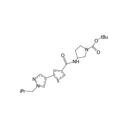 CC(C)Cn1cc(-c2cc(C(=O)NC3CCN(C(=O)OC(C)(C)C)C3)cs2)cn1